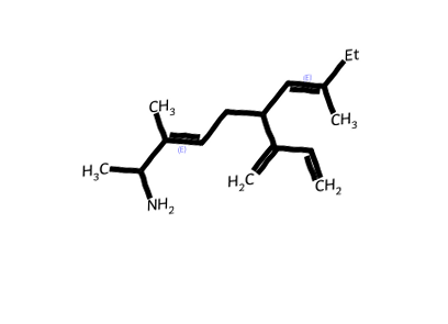 C=CC(=C)C(/C=C(\C)CC)C/C=C(\C)C(C)N